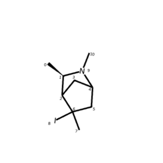 C[C@@H]1C2CC(CC2(C)I)N1C